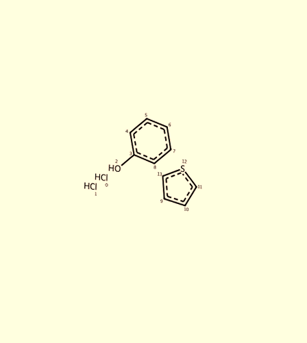 Cl.Cl.Oc1ccccc1.c1ccsc1